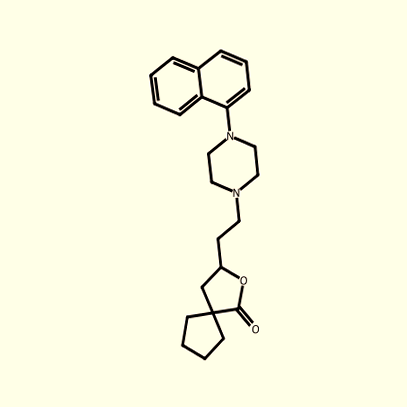 O=C1OC(CCN2CCN(c3cccc4ccccc34)CC2)CC12CCCC2